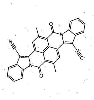 [C-]#[N+]c1c2ccccc2n2c(=O)c3c(C)cc4c5c(c(C)cc(c35)c12)c(=O)n1c2ccccc2c(C#N)c41